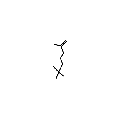 C=C(C)CCCC(C)(C)C